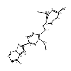 COc1cc(-c2cn3cccc(C)c3n2)ccc1OCc1ccc(Br)cc1F